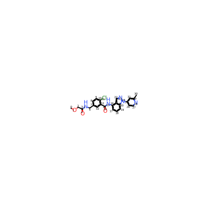 COCC(=O)NCc1ccc(Cl)c(C(=O)Nc2cccc3c2cnn3-c2ccnc(C)c2)c1